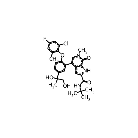 Cc1cc(F)cc(Cl)c1Oc1ccc(C(C)(O)CO)cc1-c1cn(C)c(=O)c2[nH]c(C(=O)NC(C)(C)C)cc12